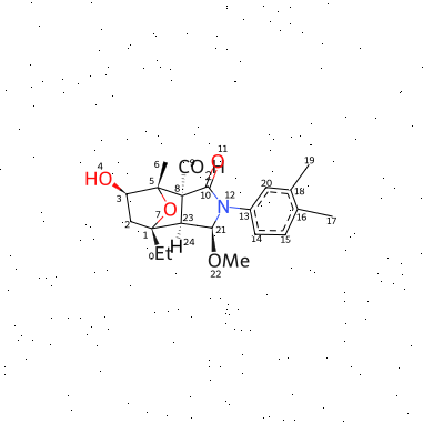 CC[C@@]12C[C@@H](O)[C@@](C)(O1)[C@@]1(C(=O)O)C(=O)N(c3ccc(C)c(C)c3)[C@@H](OC)[C@@H]21